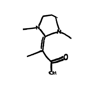 CC(C(=O)O)=C1N(C)[CH]CN1C